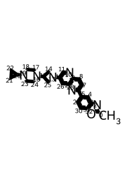 Cc1nc2cc(-c3ccc4ncc(N5CC(N6CCN(C7CC7)CC6)C5)cc4n3)ccc2o1